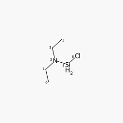 CCN(CC)[SiH2]Cl